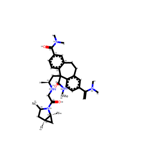 C=C(c1ccc2c(c1)CCc1cc(C(=O)N(C)C)ccc1C2(C[C@H](C)NCC(=O)N1C(C#N)C[C@@H]2C[C@@H]21)C(=O)NNC)N(C)C